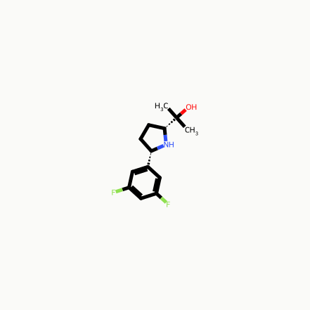 CC(C)(O)[C@H]1CC[C@@H](c2cc(F)cc(F)c2)N1